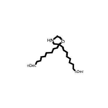 CCCCCCCCCCCCCCCCCCC1(CCCCCCCCCCCCCCCCCC)CNCCO1